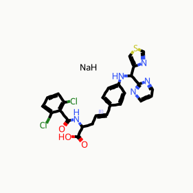 O=C(NC(C/C=C/c1ccc(NC(c2cscn2)c2ncccn2)cc1)C(=O)O)c1c(Cl)cccc1Cl.[NaH]